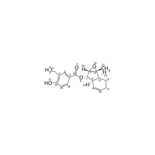 Cc1cc(C(=O)O[C@H]2[C@@H]3C=CCC[C@@H]3[C@@]3(C)O[C@@H]23)ccc1O